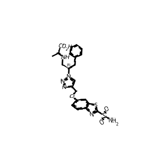 CC(NC[C@@H](Cc1ccccc1)n1cc(COc2ccc3nc(S(N)(=O)=O)sc3c2)nn1)C(=O)O